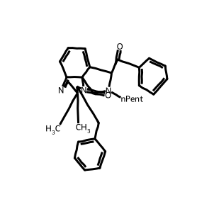 CCCCCN1CC23C(=CC=CC2=NCC(C)(C)C(Cc2ccccc2)[N+]3=O)C1C(=O)c1ccccc1